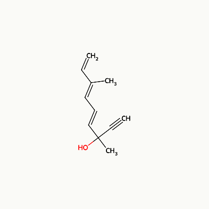 C#CC(C)(O)/C=C/C=C(\C)C=C